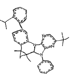 CC(C)c1ccccc1-c1ccc2c(c1)N1c3ncc(C(C)(C)C)nc3N(c3ccccc3)C1C1(C)CC21C